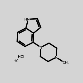 CN1CCN(c2cccc3[nH]ccc23)CC1.Cl.Cl